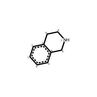 [c]1ccc2c(c1)[CH]NCC2